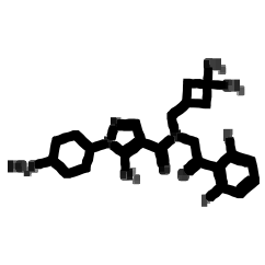 CC1(C)CC(CN(CC(=O)c2c(F)cccc2F)C(=O)c2cnn(C3CCC(C(=O)O)CC3)c2C(F)(F)F)C1